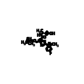 CC(NC(=O)c1cn(COCC[Si](C)(C)C)c2ncc(-c3nn(C)c4cc(F)ccc34)nc12)[C@H]1C[C@@H](O)C1